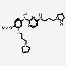 COc1ccc(Nc2nccc(NCCCN3CCCN3)n2)cc1OCCCN1CCCC1